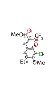 CCc1cc2c(c(Cl)c1OC)OC(C(F)(F)F)C(C(=O)OC)=C2